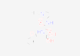 Cn1cccc(NC(=O)C(=O)NC(Cc2coc3ccccc23)B(O)O)c1=O